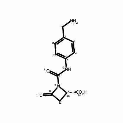 NCc1ccc(NC(=O)N2C(=O)C[C@H]2C(=O)O)cc1